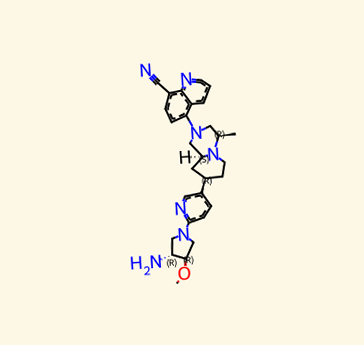 CO[C@@H]1CN(c2ccc([C@@H]3CCN4[C@@H](C3)CN(c3ccc(C#N)c5ncccc35)C[C@H]4C)cn2)C[C@H]1N